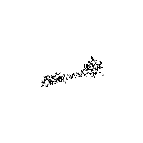 Cn1ncnc1[C@H]1c2n[nH]c(=O)c3cc(F)cc(c23)N[C@@H]1c1ccc(OCCCOCCCO[C@H]2CC[C@H]3[C@@H]4CC[C@H]5CC(F)(F)CC[C@]5(C)[C@H]4CC[C@]23C)cc1